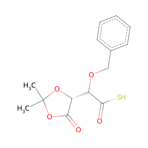 CC1(C)OC(=O)[C@@H](C(OCc2ccccc2)C(=O)S)O1